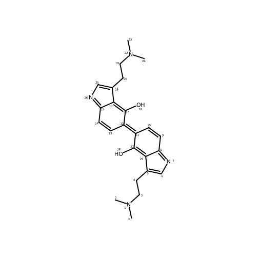 CN(C)CCC1=CN=c2ccc(=c3ccc4c(c3O)C(CCN(C)C)=CN=4)c(O)c21